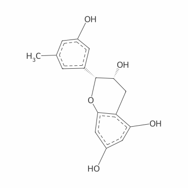 Cc1cc(O)cc([C@H]2Oc3cc(O)cc(O)c3C[C@H]2O)c1